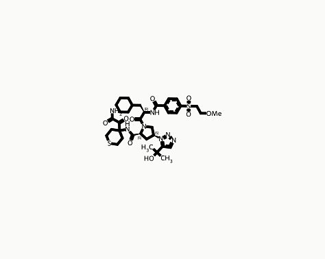 COCCS(=O)(=O)c1ccc(C(=O)N[C@H](CC2CCCCC2)C(=O)N2C[C@@H](n3nncc3C(C)(C)O)C[C@H]2C(=O)NC2(C(=O)C(N)=O)CCSCC2)cc1